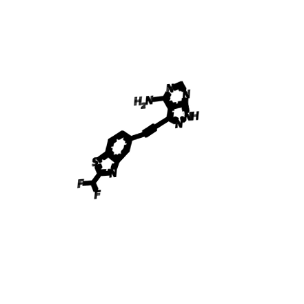 Nc1ncnc2[nH]nc(C#Cc3ccc4sc(C(F)F)nc4c3)c12